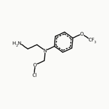 NCCN(COCl)c1ccc(OC(F)(F)F)cc1